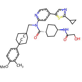 COc1ccc(C23CCC(CN(c4cc(-c5cnc(C6CC6)s5)ccn4)C(=O)[C@H]4CC[C@H](NC(=O)CO)CC4)(CC2)CC3)cc1C